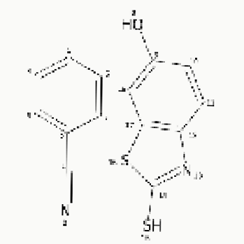 N#Cc1ccccc1.Oc1ccc2nc(S)sc2c1